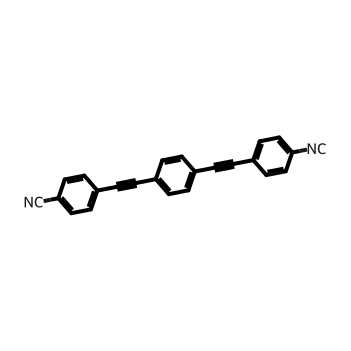 [C-]#[N+]c1ccc(C#Cc2ccc(C#Cc3ccc(C#N)cc3)cc2)cc1